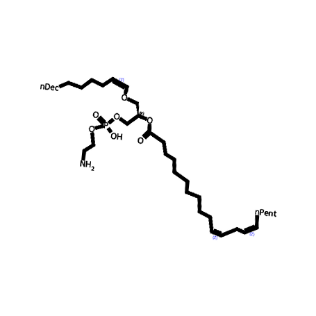 CCCCC/C=C\C/C=C\CCCCCCCCCC(=O)O[C@H](CO/C=C\CCCCCCCCCCCCCC)COP(=O)(O)OCCN